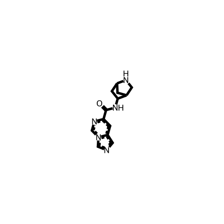 O=C(NC1CC2CC1CN2)c1cc2cncn2cn1